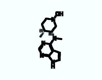 C[C@@H]1CCN(O)C[C@@H]1N(C)c1ncnc2[nH]ccc12